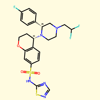 O=S(=O)(Nc1ncns1)c1ccc2c(c1)OCC[C@@H]2N1CCN(CC(F)F)C[C@H]1c1ccc(F)cc1